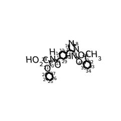 CC(OC(=O)Nc1ncncc1-c1ccc(C(=O)NC(COc2ccccc2)C(=O)O)cc1)c1ccccc1